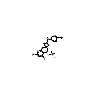 CC(C)c1ccc(C(O)C2CC3(Cc4nc(C(C)C)cc(I)c4[C@@H](O[Si](C)(C)C(C)(C)C)C3)C2)cc1